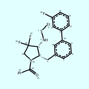 CCSN[C@@H]1[C@H](Cc2cccc(-c3cccc(F)c3)c2)N(C(=O)C(C)C)CC1(F)F